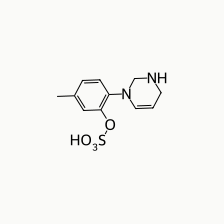 Cc1ccc(N2C=CCNC2)c(OS(=O)(=O)O)c1